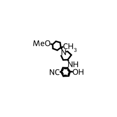 COC1CCC(C)(N2CCC(Nc3cc(C#N)ccc3O)CC2)CC1